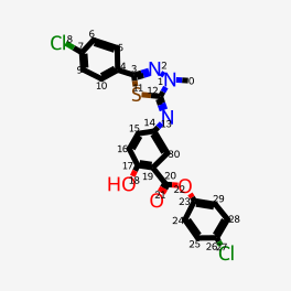 Cn1nc(-c2ccc(Cl)cc2)sc1=Nc1ccc(O)c(C(=O)Oc2ccc(Cl)cc2)c1